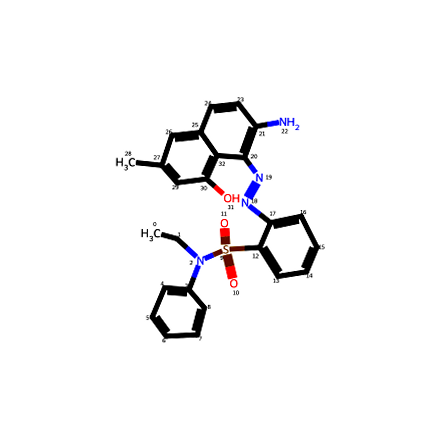 CCN(c1ccccc1)S(=O)(=O)c1ccccc1N=Nc1c(N)ccc2cc(C)cc(O)c12